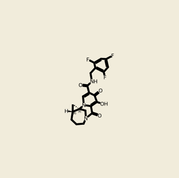 O=C(NCc1c(F)cc(F)cc1F)c1cn2c(c(O)c1=O)C(=O)N1CCC[C@@H]3C[C@]32C1